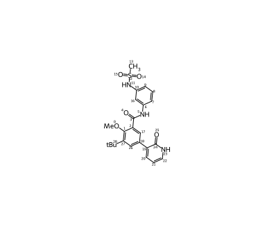 COc1c(C(=O)Nc2cccc(NS(C)(=O)=O)c2)cc(-c2ccc[nH]c2=O)cc1C(C)(C)C